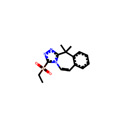 CCS(=O)(=O)c1nnc2n1C=Cc1ccccc1C2(C)C